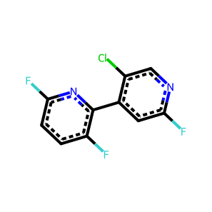 Fc1cc(-c2nc(F)ccc2F)c(Cl)cn1